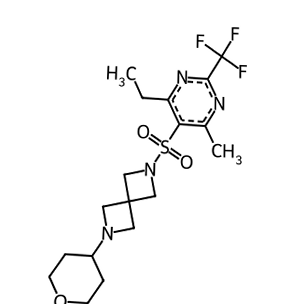 CCc1nc(C(F)(F)F)nc(C)c1S(=O)(=O)N1CC2(CN(C3CCOCC3)C2)C1